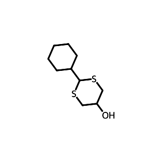 OC1CSC(C2CCCCC2)SC1